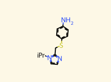 CC(C)n1ccnc1CSc1ccc(N)cc1